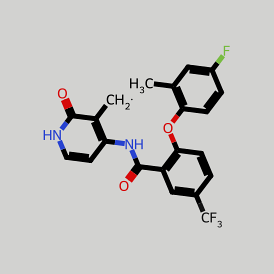 [CH2]c1c(NC(=O)c2cc(C(F)(F)F)ccc2Oc2ccc(F)cc2C)cc[nH]c1=O